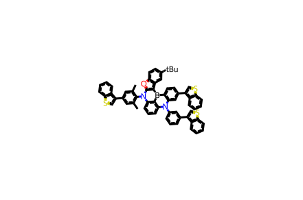 Cc1cc(-c2csc3ccccc23)cc(C)c1N1c2cccc3c2B(c2ccc(-c4csc5ccccc45)cc2N3c2cccc(-c3csc4ccccc34)c2)c2c1oc1ccc(C(C)(C)C)cc21